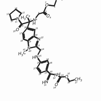 CCOC(=O)CNC(C)(C(=O)N1CCCC1)c1ccc2c(c1)nc(CNc1ccc(C(=N)NC(=O)OCC)cc1)n2C